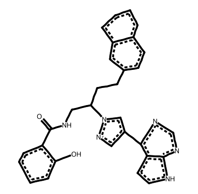 O=C(NCC(CCc1ccc2ccccc2c1)n1cc(-c2ncnc3[nH]ccc23)cn1)c1ccccc1O